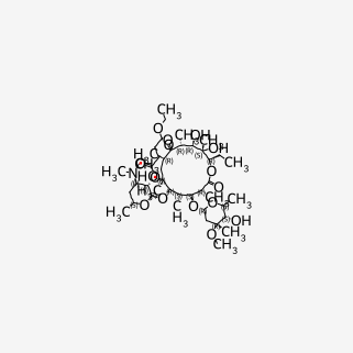 CCOC(=O)CCC(=O)O[C@@H]1[C@@H](O[C@@H]2[C@@H](C)[C@H](O[C@H]3C[C@@](C)(OC)[C@@H](O)[C@H](C)O3)[C@@H](C)C(=O)O[C@H](CC)[C@@](C)(O)[C@H](O)[C@@H](C)C(=O)[C@H](C)C[C@@]2(C)O)O[C@@H](C)C[C@H]1N(C)C